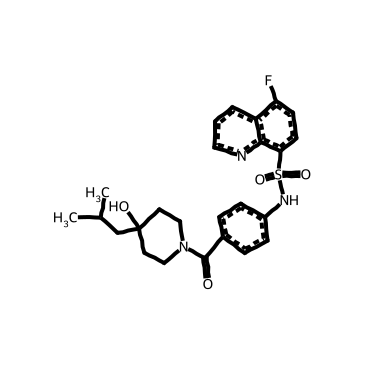 CC(C)CC1(O)CCN(C(=O)c2ccc(NS(=O)(=O)c3ccc(F)c4cccnc34)cc2)CC1